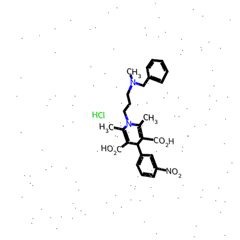 CC1=C(C(=O)O)C(c2cccc([N+](=O)[O-])c2)C(C(=O)O)=C(C)N1CCCN(C)Cc1ccccc1.Cl